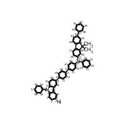 [2H]c1ccc2c(c1)c1cc(-c3ccc(-c4ccc(N(c5ccccc5)c5ccc6c(c5)C(C)(C)c5cc(-c7ccccc7)ccc5-6)cc4)cc3)ccc1n2-c1ccccc1